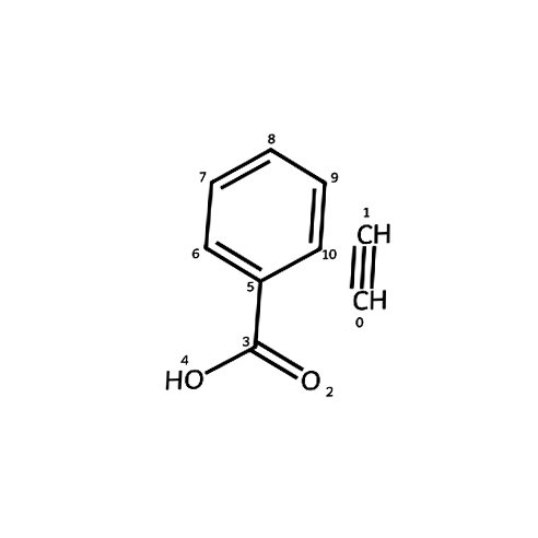 C#C.O=C(O)c1ccccc1